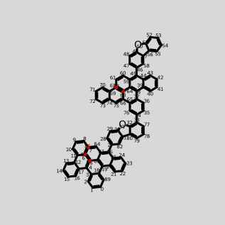 c1ccc(-c2cc3ccccc3c3ccccc23)c(-c2c3ccccc3c(-c3ccc4oc5c(-c6ccc(-c7c8ccccc8c(-c8ccc9oc%10ccccc%10c9c8)c8ccccc78)c(-c7ccc8ccccc8c7)c6)cccc5c4c3)c3ccccc23)c1